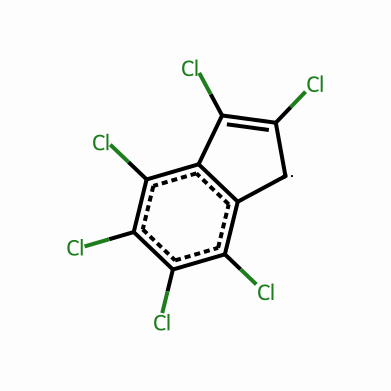 ClC1=C(Cl)c2c(Cl)c(Cl)c(Cl)c(Cl)c2[CH]1